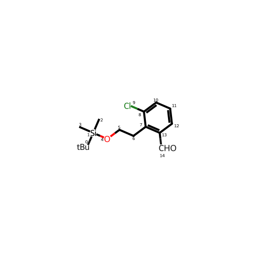 CC(C)(C)[Si](C)(C)OCCc1c(Cl)cccc1C=O